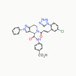 O=C(O)c1ccc(NC(=O)C2c3cn(-c4ccccc4)nc3CCN2C(=O)/C=C/c2cc(Cl)ccc2-n2cnnn2)cc1